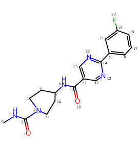 CNC(=O)N1CCC(NC(=O)c2cnc(-c3cccc(F)c3)nc2)CC1